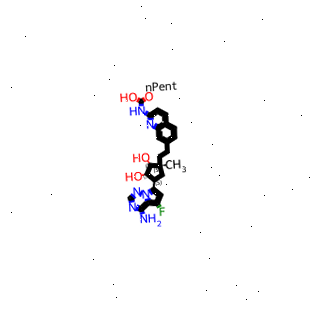 CCCCCOC(O)Nc1ccc2ccc(CC[C@@]3(C)C[C@@H](c4cc(F)c5c(N)ncnn45)[C@H](O)[C@@H]3O)cc2n1